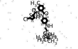 Cc1ccc(C(=O)Nc2ccc(NCCO[Si](C)(C)C(C)(C)C)cc2)c(NC(=O)c2ccc(Cl)s2)c1